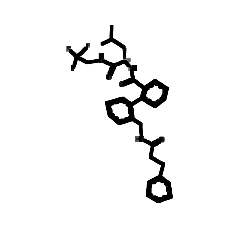 CC(C)C[C@H](NC(=O)c1ccccc1-c1ccccc1CNC(=O)CCc1ccccc1)C(=O)NCC(F)(F)F